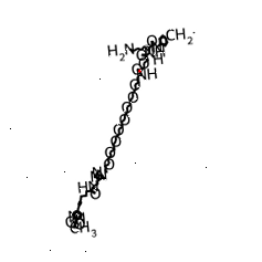 [CH2]c1ccc(NC(=O)[C@H](CCCCN)NC(=O)COCC(=O)NCCOCCOCCOCCOCCOCCOCCOCCOCCn2cc(CNC(=O)CCCC#Cc3cnc(S(C)(=O)=O)nc3)nn2)cc1